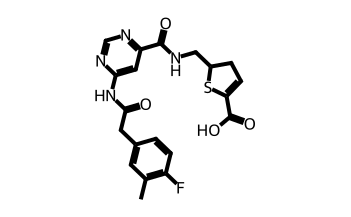 Cc1cc(CC(=O)Nc2cc(C(=O)NCC3CC=C(C(=O)O)S3)ncn2)ccc1F